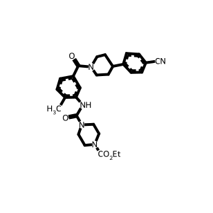 CCOC(=O)N1CCN(C(=O)Nc2cc(C(=O)N3CCC(c4ccc(C#N)cc4)CC3)ccc2C)CC1